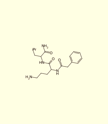 CC(C)CC(NC(=O)C(CCCN)NC(=O)Cc1ccccc1)C(N)=O